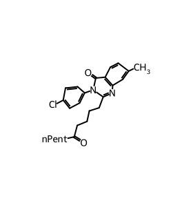 CCCCCC(=O)CCCCc1nc2cc(C)ccc2c(=O)n1-c1ccc(Cl)cc1